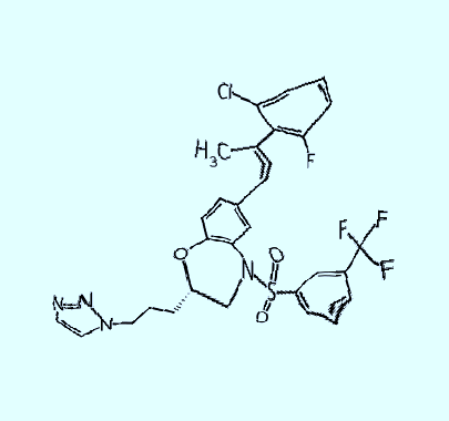 C/C(=C\c1ccc2c(c1)N(S(=O)(=O)c1cccc(C(F)(F)F)c1)C[C@H](CCCn1ccnn1)O2)c1c(F)cccc1Cl